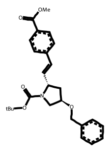 COC(=O)c1ccc(/C=C/[C@@H]2C[C@@H](OCc3ccccc3)CN2C(=O)OC(C)(C)C)cc1